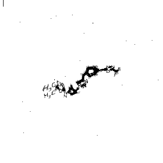 CC(C)(C)OC(=O)Nc1ccc(-n2cc(Cc3ccc(-c4nnc(C(F)F)o4)cc3)nn2)cc1